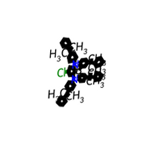 CC(C)(c1ccccc1)c1ccc(N2c3ccc(C(C)(C)c4ccccc4)cc3B3c4cc(C(C)(C)c5ccccc5)ccc4N(c4ccc(C(C)(C)c5ccccc5)cc4)c4cc(Cl)cc2c43)cc1